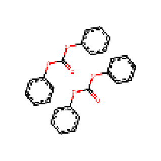 O=C(Oc1ccccc1)Oc1ccccc1.O=C(Oc1ccccc1)Oc1ccccc1